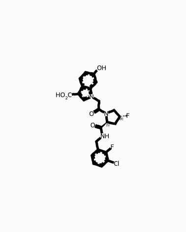 O=C(O)c1cn(CC(=O)N2C[C@H](F)C[C@H]2C(=O)NCc2cccc(Cl)c2F)c2cc(O)ccc12